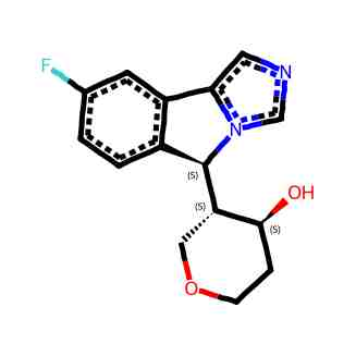 O[C@H]1CCOC[C@@H]1[C@H]1c2ccc(F)cc2-c2cncn21